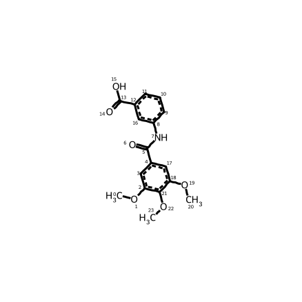 COc1cc(C(=O)Nc2cccc(C(=O)O)c2)cc(OC)c1OC